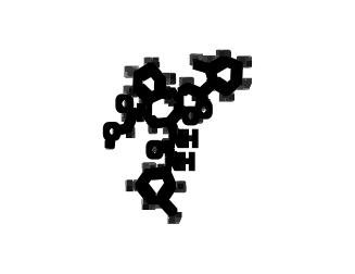 COCC(=O)N1CC(NC(=O)Nc2cccc(C)c2)C(=O)N(CC(=O)c2ccccc2C)c2ccccc21